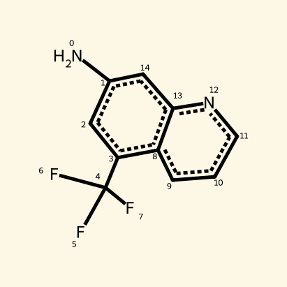 Nc1cc(C(F)(F)F)c2cccnc2c1